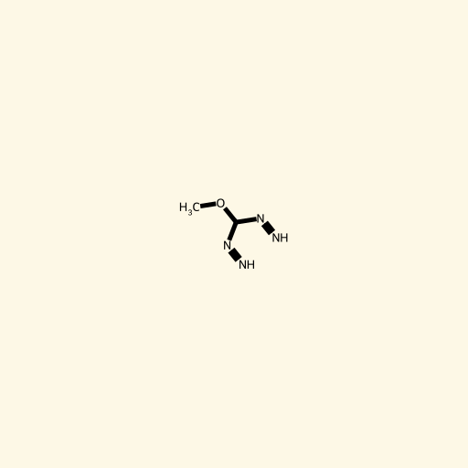 CO[C](N=N)N=N